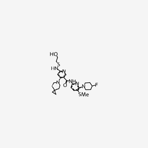 CSc1ccc(NC(=O)c2cnc(NSCCO)cc2N2CCC3(CC2)CC3)nc1N1CCC(F)CC1